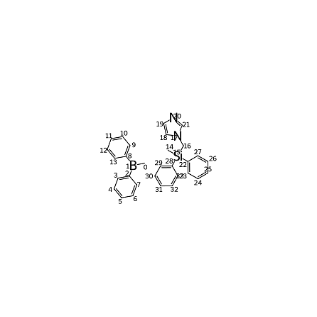 CB(c1ccccc1)c1ccccc1.C[Si](Cn1ccnc1)(c1ccccc1)c1ccccc1